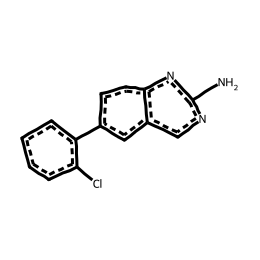 Nc1ncc2cc(-c3ccccc3Cl)ccc2n1